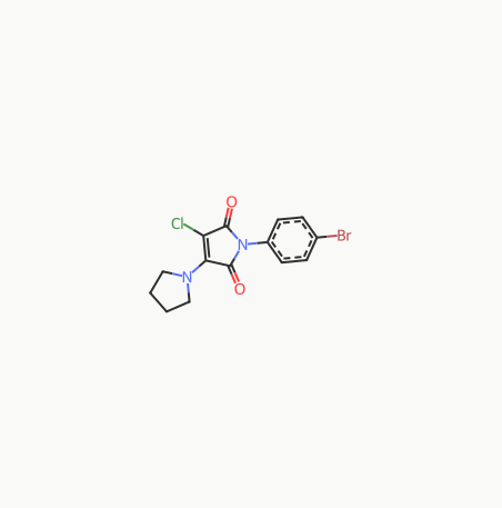 O=C1C(Cl)=C(N2CCCC2)C(=O)N1c1ccc(Br)cc1